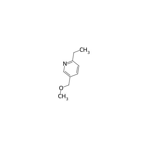 CCc1ccc(COC)cn1